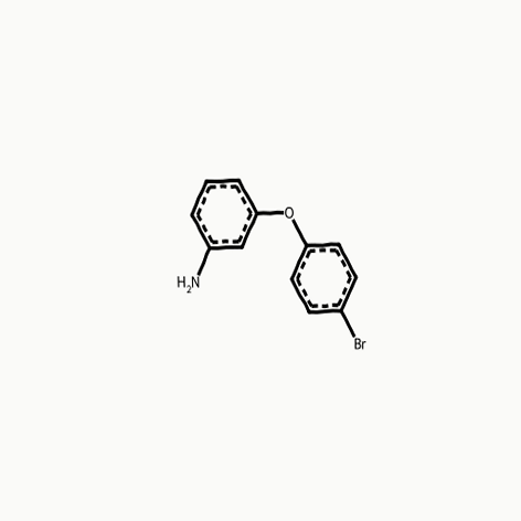 Nc1cccc(Oc2ccc(Br)cc2)c1